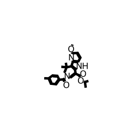 COc1ccc2[nH]c3c(c2n1)C(C)(C)CN(C(=O)c1ccc(C)cc1)C=C3C(=O)OC(C)C